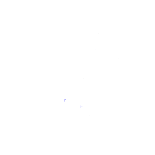 CC(=O)N1c2ccc(/C(C=N)=C/NC3CC3)c(OCC3(CO)COC3)c2CC[C@@H]1C